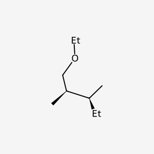 CCOC[C@H](C)[C@@H](C)CC